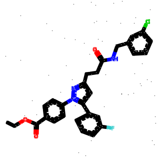 CCOC(=O)c1ccc(-n2nc(CCC(=O)NCc3cccc(Cl)c3)cc2-c2cccc(F)c2)cc1